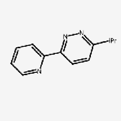 CC(C)c1ccc(-c2ccccn2)nn1